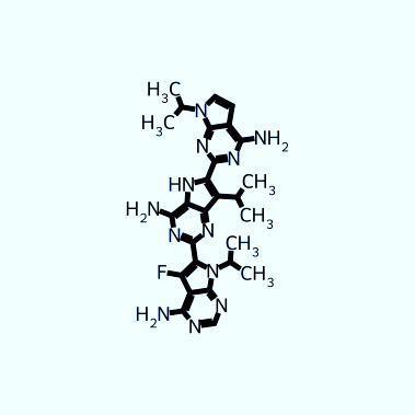 CC(C)c1c(-c2nc(N)c3ccn(C(C)C)c3n2)[nH]c2c(N)nc(-c3c(F)c4c(N)ncnc4n3C(C)C)nc12